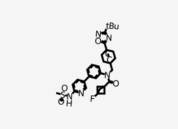 CC(C)(C)c1noc(C23CCC(CN(C(=O)C45CC(F)(C4)C5)c4cccc(-c5ccc(NS(C)(=O)=O)nc5)c4)(CC2)CC3)n1